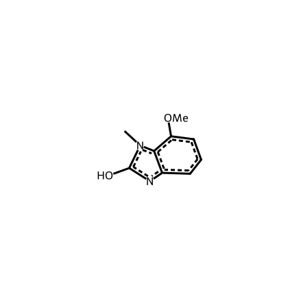 COc1cccc2nc(O)n(C)c12